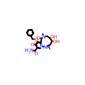 C[C@@H]1C[C@H](O)[C@H](O)CN(C)C(=O)c2c(OCc3ccccc3)c(=O)c(C(N)=O)cn2N1